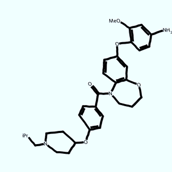 COc1cc(N)ccc1Oc1ccc2c(c1)OCCCN2C(=O)c1ccc(OC2CCN(CC(C)C)CC2)cc1